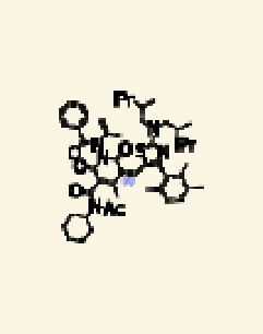 C=C(C)N(C(=O)c1ccccc1)N1C(=O)C(C(=O)N(C(C)=O)C2CCCCC2)=C(C)/C(=C/c2sc(N(CC(C)C(C)C)CC(C)C(C)C)nc2-c2c(C)ccc(C)c2C)C1=O